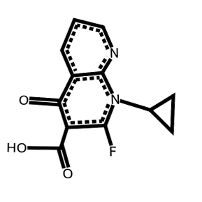 O=C(O)c1c(F)n(C2CC2)c2ncccc2c1=O